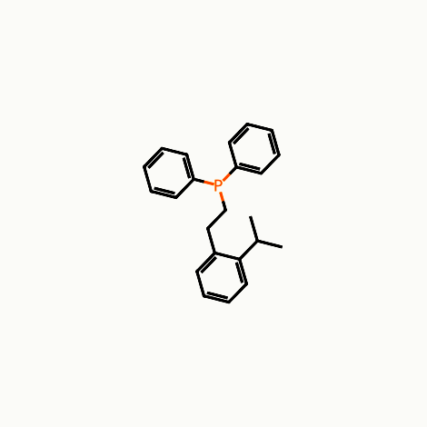 CC(C)c1ccccc1CCP(c1ccccc1)c1ccccc1